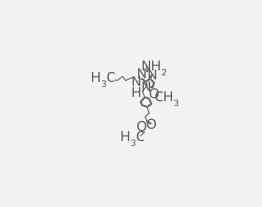 CCCCCNc1nc(N)nc2ccn(Cc3ccc(CCC(=O)OCC)cc3OC)c12